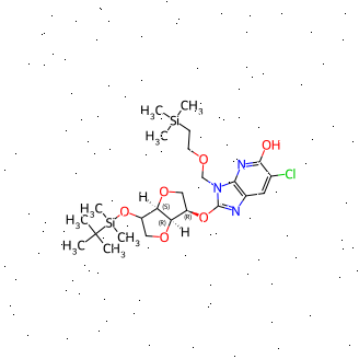 CC(C)(C)[Si](C)(C)OC1CO[C@H]2[C@@H]1OC[C@H]2Oc1nc2cc(Cl)c(O)nc2n1COCC[Si](C)(C)C